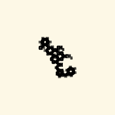 CC(=O)O[C@@H](C(=O)NCc1nc(Cc2ccccc2)cs1)[C@@H](OC(C)=O)C(=O)N1CCN(c2ccccc2Cl)CC1